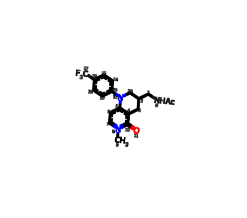 CC(=O)NCC1Cc2c(ccn(C)c2=O)N(c2ccc(C(F)(F)F)cc2)C1